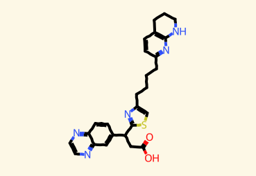 O=C(O)CC(c1ccc2nccnc2c1)c1nc(CCCCc2ccc3c(n2)NCCC3)cs1